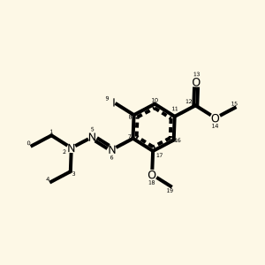 CCN(CC)N=Nc1c(I)cc(C(=O)OC)cc1OC